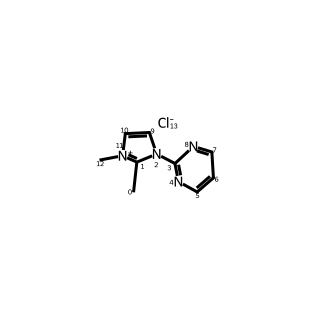 Cc1n(-c2ncccn2)cc[n+]1C.[Cl-]